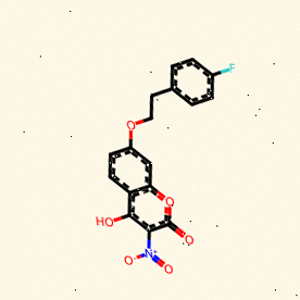 O=c1oc2cc(OCCc3ccc(F)cc3)ccc2c(O)c1[N+](=O)[O-]